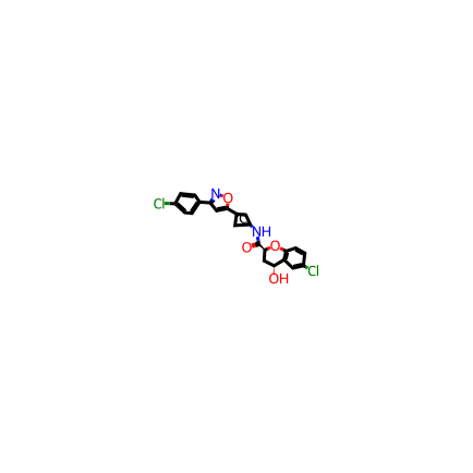 O=C(NC12CC(c3cc(-c4ccc(Cl)cc4)no3)(C1)C2)[C@@H]1C[C@@H](O)c2cc(Cl)ccc2O1